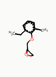 CCc1cccc(C)c1OCC1CO1